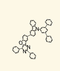 c1ccc(-c2cc(-c3ccccc3)cc(-n3c4ccccc4c4cc(-c5ccc6oc7c(-c8ccccc8)nc(-c8ccccc8)nc7c6c5)ccc43)c2)cc1